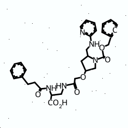 O=C(COC1CC(CNc2ccccn2)N(C(=O)OCc2ccccc2)C1)NCC(NC(=O)CCc1ccccc1)C(=O)O